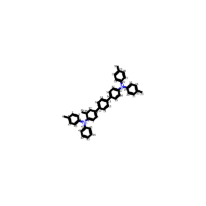 Cc1ccc(N(C2=CC=C(c3ccc(-c4ccc(N(c5ccc(C)cc5)c5ccc(C)cc5)cc4)cc3)CC2C)c2ccccc2)cc1